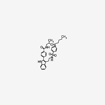 CCCCCc1ccc(S(=O)(=O)NCCc2c(-c3ccc(C(=O)NCC(C)C)cc3)[nH]c3ccccc23)cc1